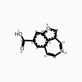 O=C(O)c1cc2c3c(coc3c1)C=NC=C2